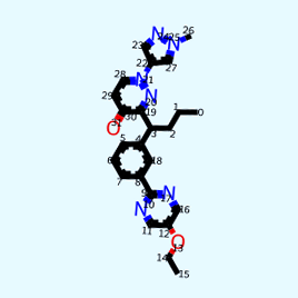 CCCC(c1cccc(-c2ncc(OCC)cn2)c1)c1nn(-c2cnn(C)c2)ccc1=O